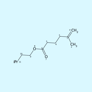 C=C(C)CCCC(=O)OCCC(C)C